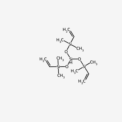 C=C[Si](C)(C)O[SiH](O[Si](C)(C)C=C)O[Si](C)(C)C=C